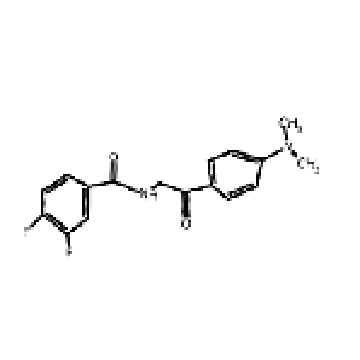 CN(C)c1ccc(C(=O)CNC(=O)c2ccc(F)c(F)c2)cc1